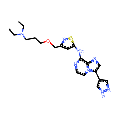 CCN(CC)CCCOCc1cc(Nc2nccn3c(-c4cn[nH]c4)cnc23)sn1